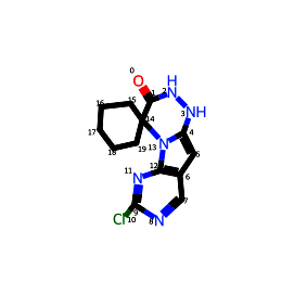 O=C1NNc2cc3cnc(Cl)nc3n2C12CCCCC2